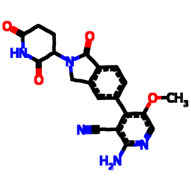 COc1cnc(N)c(C#N)c1-c1ccc2c(c1)CN(C1CCC(=O)NC1=O)C2=O